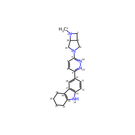 CN1CC2CN(c3ccc(-c4ccc5[nH]c6c(c5c4)CCCC6)nn3)CC21